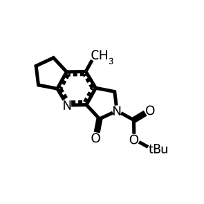 Cc1c2c(nc3c1CN(C(=O)OC(C)(C)C)C3=O)CCC2